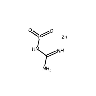 N=C(N)NP(=O)=O.[Zn]